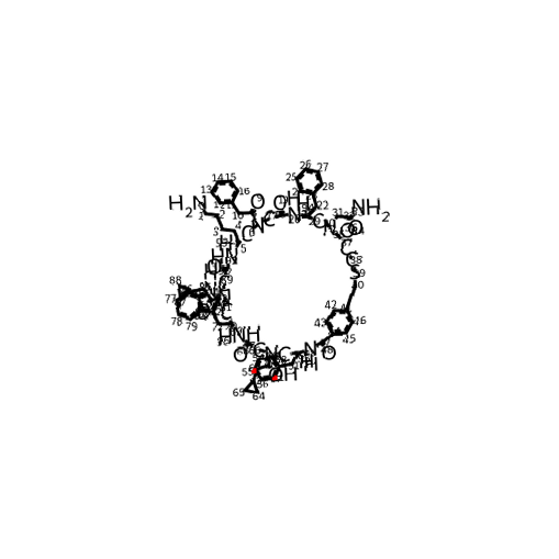 NCCCC[C@H]1CN(C(=O)Cc2ccccc2)CC(=O)N[C@@H](Cc2ccccc2)CN(CC(N)=O)C(=O)CCSCc2ccc(cc2)C(=O)N[C@@H](Cc2ccccc2)CN(C(O)CC2CC2)CC(=O)N[C@@H](Cc2c[nH]c3ccccc23)CN(C(=O)CC2CC2)CC(=O)N1